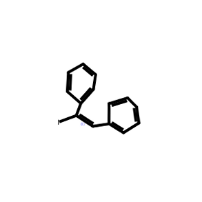 I/C(=C/c1ccccc1)c1ccccc1